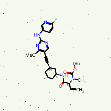 C=C[C@@H](C(=O)N[C@H]1CCC[C@@H](C#Cc2cnc(Nc3ccc(F)nc3)nc2OC)C1)N(C)C(=O)OC(C)(C)C